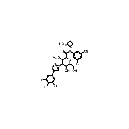 COC1C(C(=O)N(c2cc(Br)cc(C#N)c2)[C@@H]2CC[C@H]2O)OC(CO)C(O)C1n1cc(-c2cc(F)c(Cl)c(Cl)c2)nn1